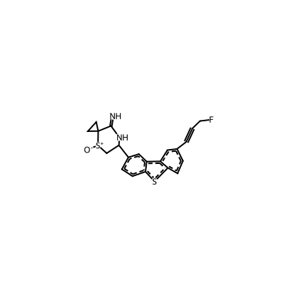 N=C1NC(c2ccc3sc4ccc(C#CCF)cc4c3c2)C[S+]([O-])C12CC2